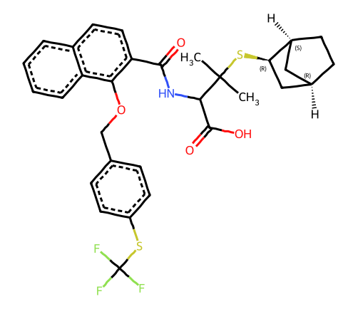 CC(C)(S[C@@H]1C[C@@H]2CC[C@H]1C2)C(NC(=O)c1ccc2ccccc2c1OCc1ccc(SC(F)(F)F)cc1)C(=O)O